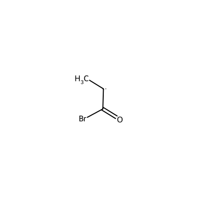 C[CH]C(=O)Br